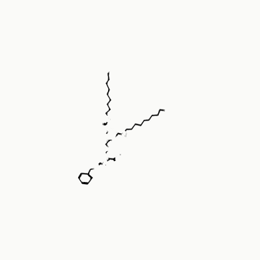 CCCCCCCCCCNC(=O)OC[C@@H](CSC[C@H](NC(=O)OCc1ccccc1)C(=O)O)OC(=O)NCCCCCCCCCC